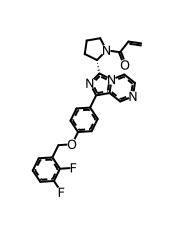 C=CC(=O)N1CCC[C@H]1c1nc(-c2ccc(OCc3cccc(F)c3F)cc2)c2cnccn12